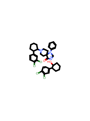 O=C1NCN(c2ccccc2)C12CCN(C1CCCCC1c1ccc(Cl)c(Cl)c1)CC2.OC1CCCCC1c1ccc(Cl)c(Cl)c1